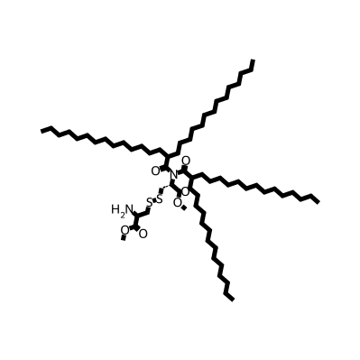 CCCCCCCCCCCCCCC(CCCCCCCCCCCCCC)C(=O)N(C(=O)C(CCCCCCCCCCCCCC)CCCCCCCCCCCCCC)[C@@H](CSSCC(N)C(=O)OC)C(=O)OC